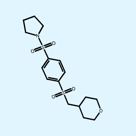 O=S(=O)(CC1CCOCC1)c1ccc(S(=O)(=O)N2CCCC2)cc1